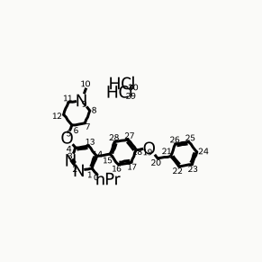 CCCc1nnc(OC2CCN(C)CC2)cc1-c1ccc(OCc2ccccc2)cc1.Cl.Cl